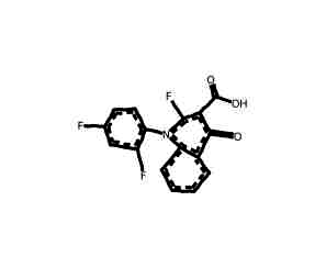 O=C(O)c1c(F)n(-c2ccc(F)cc2F)c2ccccc2c1=O